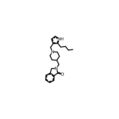 CCCCc1[nH]ccc1CN1CCC(CN2Cc3ccccc3C2=O)CC1